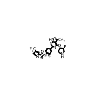 Cc1n[nH]c2nc(-c3ccc(NS(=O)(=O)c4cc(C(F)(F)F)ccn4)c(F)c3)nc(O[C@@H]3CCNC[C@@H]3F)c12